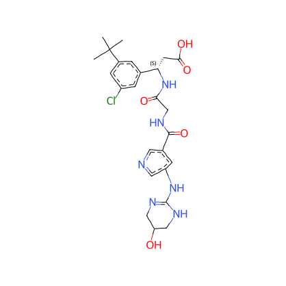 CC(C)(C)c1cc(Cl)cc([C@H](CC(=O)O)NC(=O)CNC(=O)c2cncc(NC3=NCC(O)CN3)c2)c1